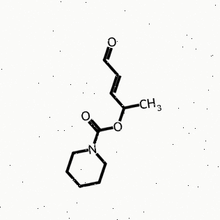 CC(C=CC=O)OC(=O)N1CCCCC1